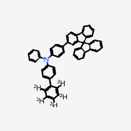 [2H]c1c([2H])c([2H])c(-c2ccc(N(c3ccccc3)c3ccc(-c4ccc5c(c4)C4(c6ccccc6-c6ccccc64)c4ccccc4-5)cc3)cc2)c([2H])c1[2H]